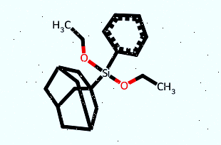 CCO[Si](OCC)(c1ccccc1)C12CC3CC(CC(C3)C1)C2